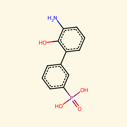 Nc1cccc(-c2cccc(P(=O)(O)O)c2)c1O